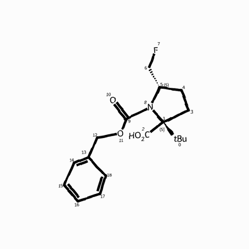 CC(C)(C)[C@]1(C(=O)O)CC[C@@H](CF)N1C(=O)OCc1ccccc1